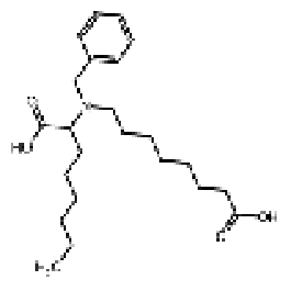 CCCCCCC(C(=O)O)N(CCCCCCCC(=O)O)Cc1ccccc1